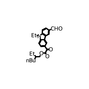 CCCCC(CC)COC(=O)C(=O)c1ccc2c(c1)c1cc(C=O)ccc1n2CC